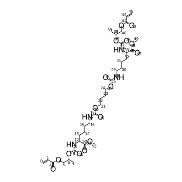 C=CC(=O)OCC(C)OC(=O)NC(CCCCNC(=O)OCCCCOC(=O)NCCCCC(NC(=O)OC(C)COC(=O)C=C)C(=O)OC)C(=O)OC